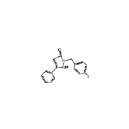 O=c1cc(-c2ccccc2)[nH]n1Cc1ccc(F)cc1